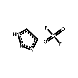 O=S(=O)(F)F.c1c[nH]nn1